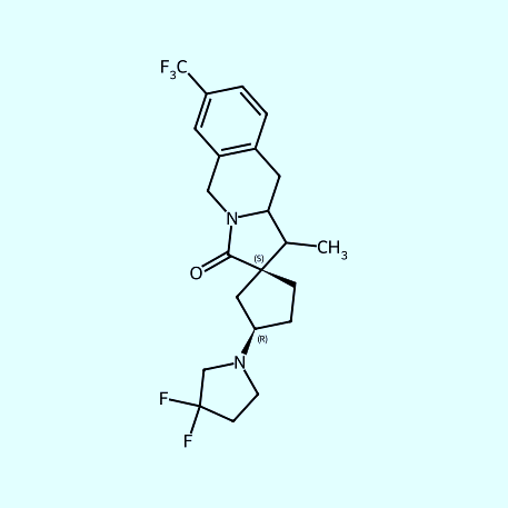 CC1C2Cc3ccc(C(F)(F)F)cc3CN2C(=O)[C@]12CC[C@@H](N1CCC(F)(F)C1)C2